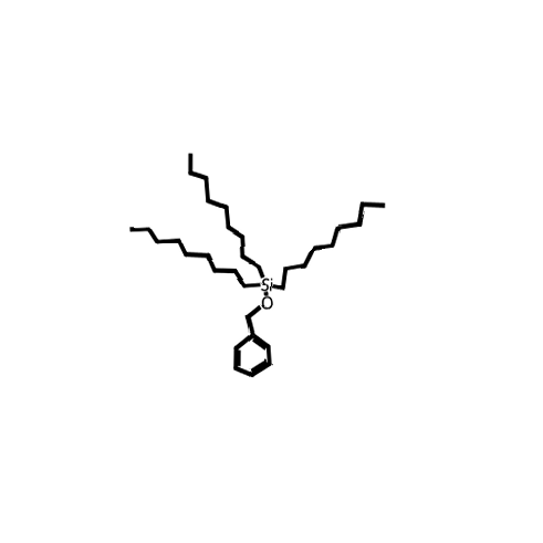 CCCCCCCCC[Si](CCCCCCCCC)(CCCCCCCCC)OCc1ccccc1